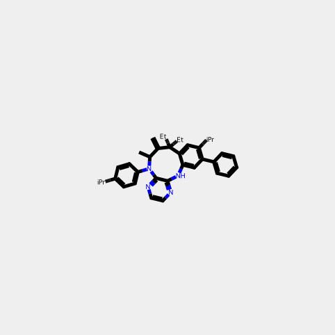 C=C1C(C)N(c2ccc(C(C)C)cc2)c2nccnc2Nc2cc(-c3ccccc3)c(C(C)C)cc2C1(CC)CC